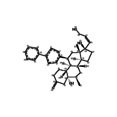 C[C@@H]1C[C@@H]2[C@H]([C@@H](c3ccc(-c4cccnc4)cc3)C[C@@]3(C)[C@H]2CC[C@@]3(O)/C=C\CO)[C@H]2CCC(=O)C[C@]12O